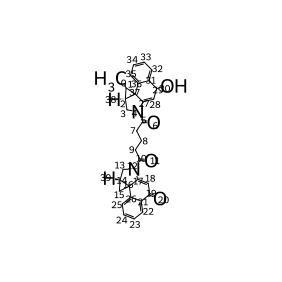 C[C@@H]1[C@@H]2CN(C(=O)CCCC(=O)N3C[C@H]4CC45C3=CC(=O)c3ccccc35)C3=CC(O)c4ccccc4C312